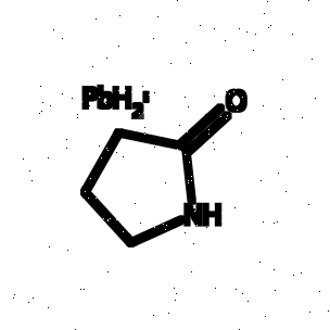 O=C1CCCN1.[PbH2]